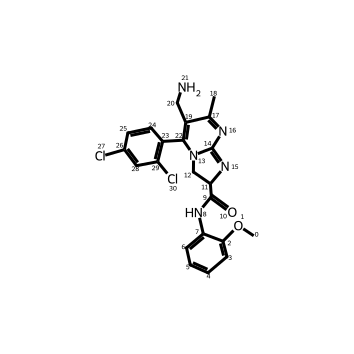 COc1ccccc1NC(=O)C1CN2C(=N1)N=C(C)C(CN)=C2c1ccc(Cl)cc1Cl